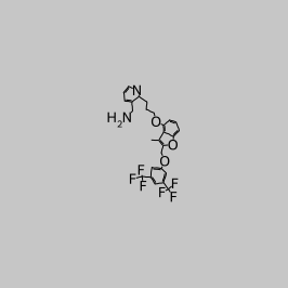 Cc1c(COc2cc(C(F)(F)F)cc(C(F)(F)F)c2)oc2cccc(OCCCc3ncccc3CN)c12